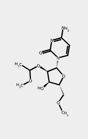 COC[C@H]1O[C@@H](n2ccc(N)nc2=O)[C@H](OC(C)OC)[C@@H]1O